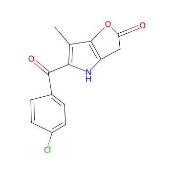 Cc1c(C(=O)c2ccc(Cl)cc2)[nH]c2c1OC(=O)C2